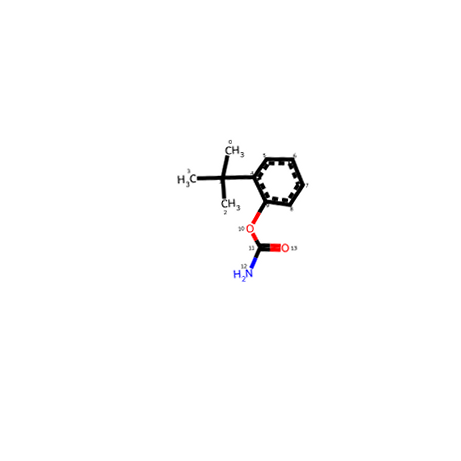 CC(C)(C)c1ccccc1OC(N)=O